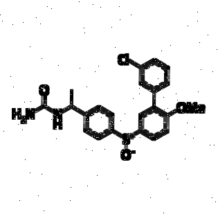 COc1ccc([S+]([O-])c2ccc(C(C)NC(N)=O)cc2)cc1-c1cccc(Cl)c1